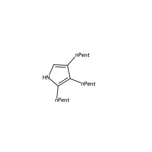 CCCCCc1c[nH]c(CCCCC)c1CCCCC